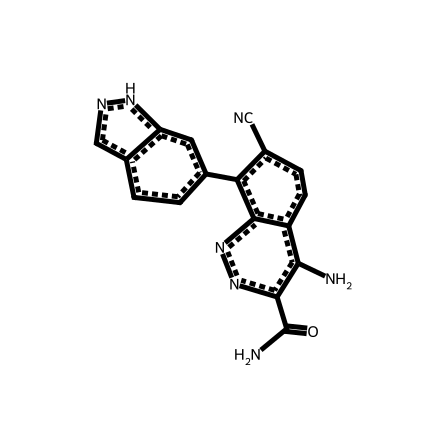 N#Cc1ccc2c(N)c(C(N)=O)nnc2c1-c1ccc2cn[nH]c2c1